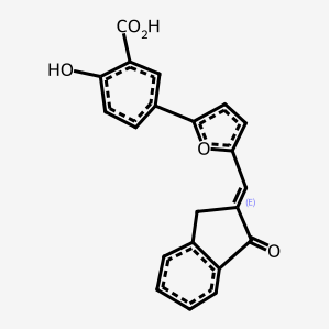 O=C(O)c1cc(-c2ccc(/C=C3\Cc4ccccc4C3=O)o2)ccc1O